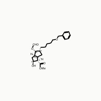 COC(=O)[C@H]1[C@@H]2C[C@@H](CCCCCOCc3ccccc3)[C@@H](OC=O)[C@@H]2C[C@@H]1O